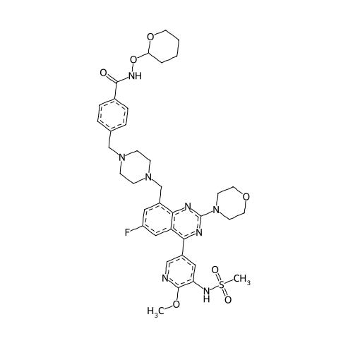 COc1ncc(-c2nc(N3CCOCC3)nc3c(CN4CCN(Cc5ccc(C(=O)NOC6CCCCO6)cc5)CC4)cc(F)cc23)cc1NS(C)(=O)=O